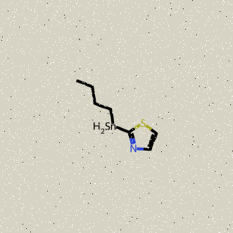 CCC[CH2][SnH2][c]1nccs1